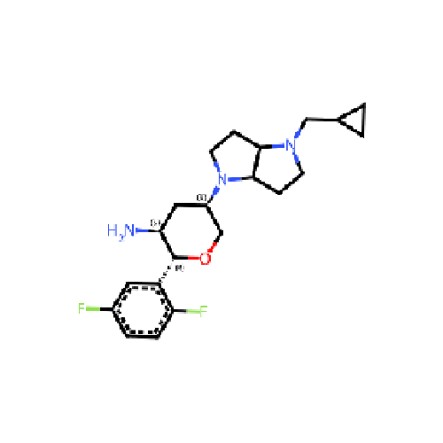 N[C@H]1C[C@@H](N2CCC3C2CCN3CC2CC2)CO[C@@H]1c1cc(F)ccc1F